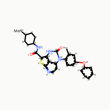 CNC1CCC(NC(=O)c2sc3nccc4c3c2NC(=O)N4c2ccc(Oc3ccccc3)cc2C)CC1